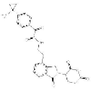 O=C1CCC(N2Cc3c(CCNC(=O)C(=O)c4ccc(C5(C(F)(F)F)CC5)cc4)cccc3C2=O)C(=O)N1